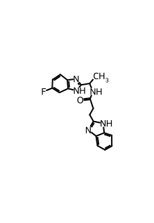 CC(NC(=O)CCc1nc2ccccc2[nH]1)c1nc2ccc(F)cc2[nH]1